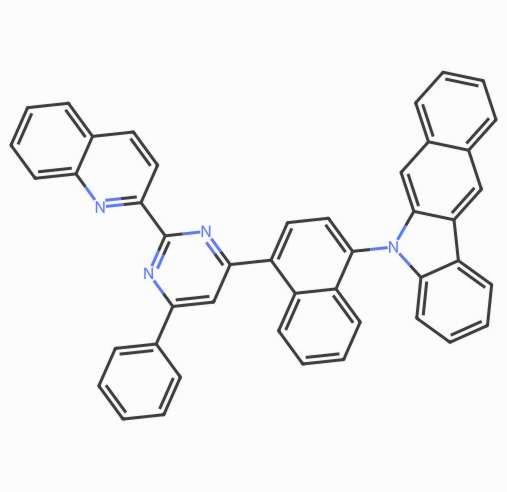 c1ccc(-c2cc(-c3ccc(-n4c5ccccc5c5cc6ccccc6cc54)c4ccccc34)nc(-c3ccc4ccccc4n3)n2)cc1